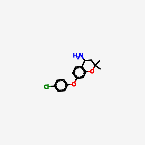 CC1(C)CC(N)c2ccc(Oc3ccc(Cl)cc3)cc2O1